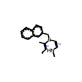 C/C=C(\C)N(/C=C\NC)Cc1ccc2ccccc2c1